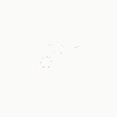 CC1(C)C(=O)N(c2ccc(S(C)(=O)=O)c(C(F)(F)F)c2)C(=O)N1C/C=C\CCl